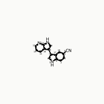 N#Cc1ccc2[nH]cc(-c3c[nH]c4ncccc34)c2c1